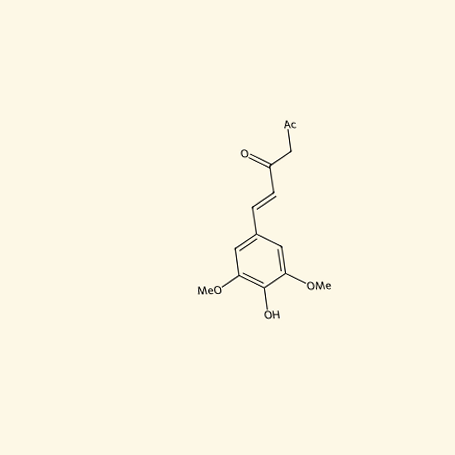 COc1cc(C=CC(=O)CC(C)=O)cc(OC)c1O